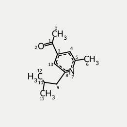 CC(=O)c1cc(C)nc(CC(C)C)c1